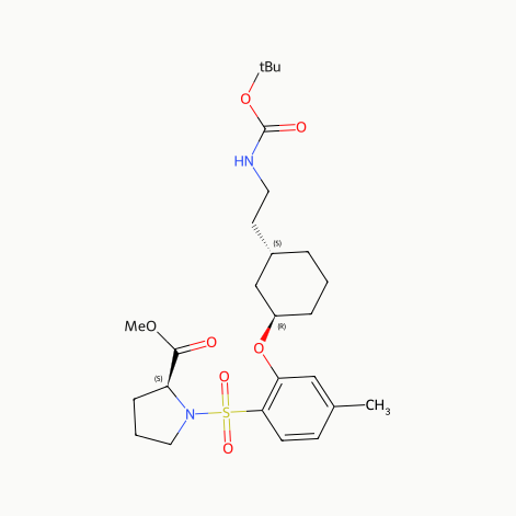 COC(=O)[C@@H]1CCCN1S(=O)(=O)c1ccc(C)cc1O[C@@H]1CCC[C@@H](CCNC(=O)OC(C)(C)C)C1